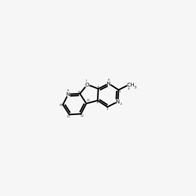 Cc1ncc2c(n1)oc1ncccc12